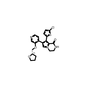 O=C1NCCn2cc(-c3ccncc3OC[C@@H]3CCCO3)c(-c3ccc(Cl)s3)c21